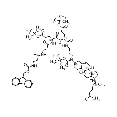 CC(C)CCC[C@@H](C)C1CC[C@H]2[C@H]3CC=C4C[C@@H](N(CCCNC(=O)[C@H](CCC(=O)OC(C)(C)C)NC(=O)[C@H](CCC(=O)OC(C)(C)C)NC(=O)CCNC(=O)CCNC(=O)OCC5c6ccccc6-c6ccccc65)C(=O)OC(C)(C)C)CCC4(C)C3CCC12C